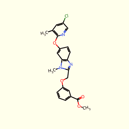 COC(=O)c1cccc(OCc2nc3ccc(Oc4ncc(Cl)cc4C)cc3n2C)c1